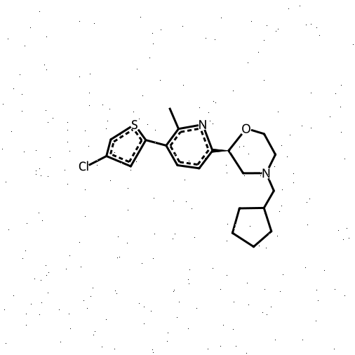 Cc1nc([C@@H]2CN(CC3CCCC3)CCO2)ccc1-c1cc(Cl)cs1